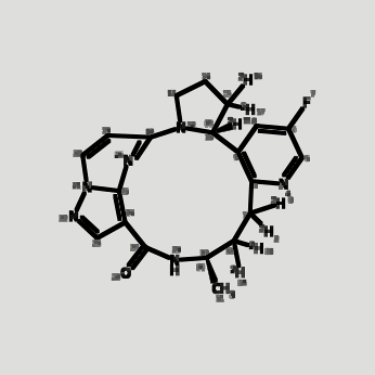 [2H]C1([2H])c2ncc(F)cc2[C@]2([2H])N(CCC2([2H])[2H])c2ccn3ncc(c3n2)C(=O)N[C@H](C)C1([2H])[2H]